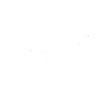 O=P(Cl)(Cl)OCl.O=P(O)(O)O